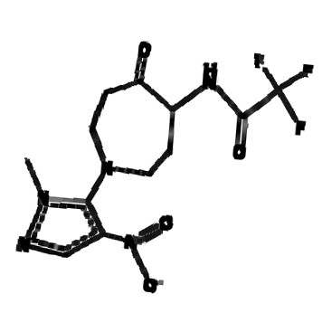 Cn1ncc([N+](=O)[O-])c1N1CCC(=O)C(NC(=O)C(F)(F)F)CC1